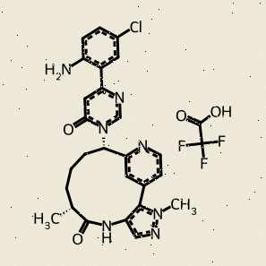 C[C@@H]1CCC[C@H](n2cnc(-c3cc(Cl)ccc3N)cc2=O)c2cc(ccn2)-c2c(cnn2C)NC1=O.O=C(O)C(F)(F)F